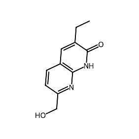 CCc1cc2ccc(CO)nc2[nH]c1=O